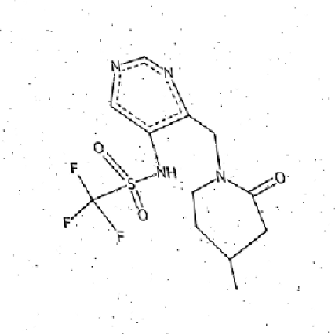 CC1CCN(Cc2ncncc2NS(=O)(=O)C(F)(F)F)C(=O)C1